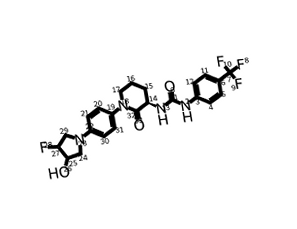 O=C(Nc1ccc(C(F)(F)F)cc1)N[C@@H]1CCCN(c2ccc(N3CC(O)C(F)C3)cc2)C1=O